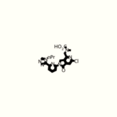 CCCn1cnnc1-c1cccc(N2Cc3c(cc(Cl)nc3CN(C)C(=O)O)C2=O)n1